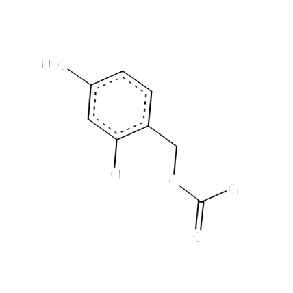 Cc1ccc(COC(=O)Cl)c(Cl)c1